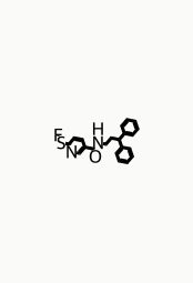 O=C(NCCC(c1ccccc1)c1ccccc1)c1ccc(SF)nc1